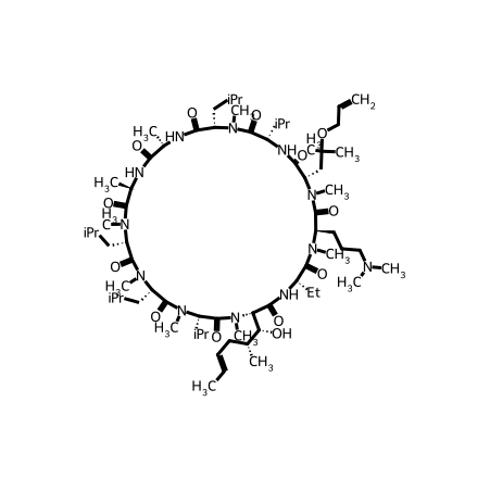 C=CCOC(C)(C)C[C@H]1C(=O)N[C@@H](C(C)C)C(=O)N(C)[C@@H](CC(C)C)C(=O)N[C@@H](C)C(=O)N[C@H](C)C(=O)N(C)[C@@H](CC(C)C)C(=O)N(C)[C@@H](CC(C)C)C(=O)N(C)[C@@H](C(C)C)C(=O)N(C)[C@@H]([C@H](O)[C@H](C)C/C=C/C)C(=O)N[C@@H](CC)C(=O)N(C)[C@H](CCCN(C)C)C(=O)N1C